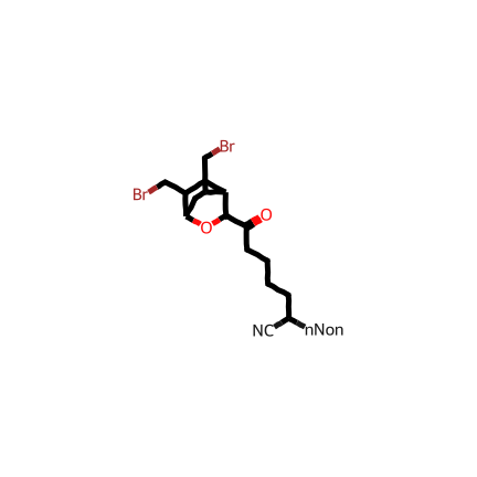 [CH2]CCCCCCCCC(C#N)CCCCC(=O)[C]1OC2CC(CBr)C1CC2CBr